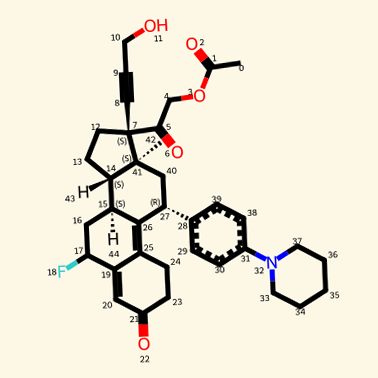 CC(=O)OCC(=O)[C@@]1(C#CCO)CC[C@H]2[C@@H]3CC(F)C4=CC(=O)CCC4=C3[C@@H](c3ccc(N4CCCCC4)cc3)C[C@@]21C